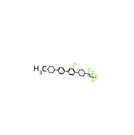 CC1CCC(c2ccc(-c3ccc(C4CCC(/C(F)=C/C(F)(F)F)CC4)c(F)c3)cc2)CC1